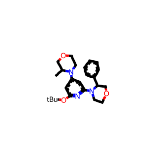 CC1COCCN1c1cc(OC(C)(C)C)nc(N2CCOCC2c2ccccc2)c1